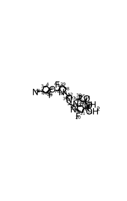 N#Cc1ccc(OCc2nc(C3=CCN(Cc4nc5c(F)cc(C(=O)O)cc5n4CC4(CC(N)=O)CC4)C3)ccc2F)c(F)c1